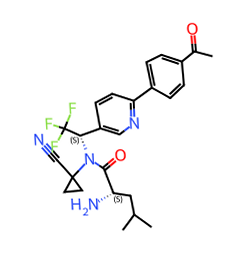 CC(=O)c1ccc(-c2ccc([C@H](N(C(=O)[C@@H](N)CC(C)C)C3(C#N)CC3)C(F)(F)F)cn2)cc1